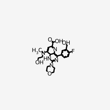 CN(CCO)C1=CC(C(=O)O)=NC2=C(c3ccc(F)c(CO)c3)N=C(N3CCOCC3)NC12